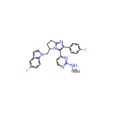 CCCCNc1nccc(-c2c(-c3ccc(F)cc3)nc3n2C(Cn2ccc4cc(F)ccc42)CC3)n1